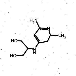 CC1CC(NC(CO)CO)=CC(N)=N1